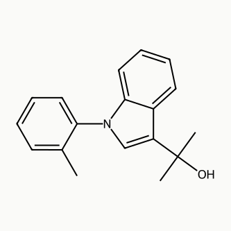 Cc1ccccc1-n1cc(C(C)(C)O)c2ccccc21